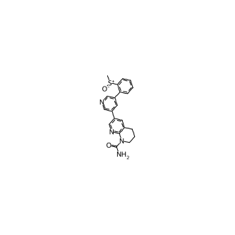 C[S+]([O-])c1ccccc1-c1cncc(-c2cnc3c(c2)CCCN3C(N)=O)c1